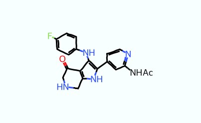 CC(=O)Nc1cc(-c2[nH]c3c(c2Nc2ccc(F)cc2)C(=O)CNC3)ccn1